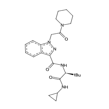 CC(C)(C)[C@H](NC(=O)c1nn(CC(=O)N2CCCCC2)c2ccccc12)C(=O)NC1CC1